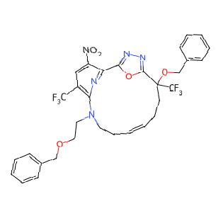 O=[N+]([O-])c1cc(C(F)(F)F)c2nc1-c1nnc(o1)C(OCc1ccccc1)(C(F)(F)F)CCC=CCCN2CCOCc1ccccc1